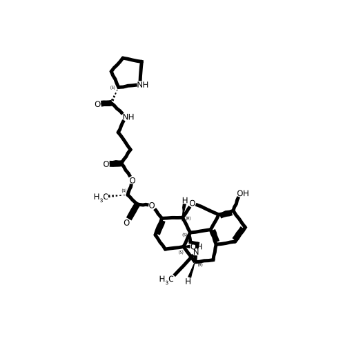 C[C@H](OC(=O)CCNC(=O)[C@@H]1CCCN1)C(=O)OC1=CC[C@@]2(O)[C@H]3Cc4ccc(O)c5c4[C@@]2(CCN3C)[C@H]1O5